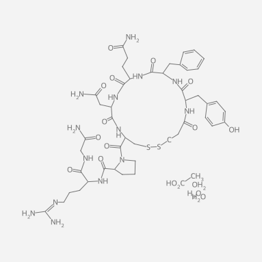 CC(=O)O.NC(=O)CCC1NC(=O)C(Cc2ccccc2)NC(=O)C(Cc2ccc(O)cc2)NC(=O)CCSSCC(C(=O)N2CCCC2C(=O)NC(CCCN=C(N)N)C(=O)NCC(N)=O)NC(=O)C(CC(N)=O)NC1=O.O.O.O